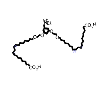 CCN(CC)Cc1cc(OCCOCCCCCCC/C=C\C/C=C\CCCCCCCC(=O)O)cc(OCCOCCCCCCC/C=C\C/C=C\CCCCCCCC(=O)O)c1